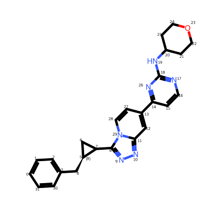 c1ccc(C[C@H]2CC2c2nnc3cc(-c4ccnc(NC5CCOCC5)n4)ccn23)cc1